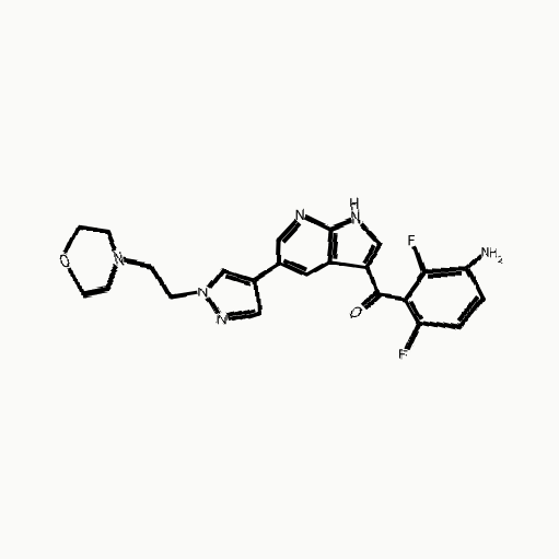 Nc1ccc(F)c(C(=O)c2c[nH]c3ncc(-c4cnn(CCN5CCOCC5)c4)cc23)c1F